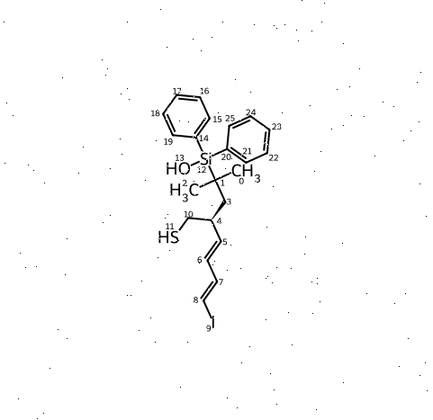 CC(C)(C[C@@H](/C=C/C=C/I)CS)[Si](O)(c1ccccc1)c1ccccc1